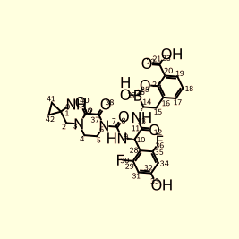 NC1(CN2CCN(C(=O)N[C@@H](C(=O)N[C@H]3Cc4cccc(C(=O)O)c4OB3O)c3c(F)cc(O)cc3F)C(=O)C2=O)CC1